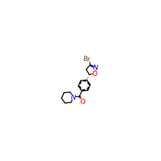 O=C(c1ccc([C@@H]2CC(Br)=NO2)cc1)N1CCCCC1